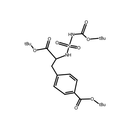 CC(C)(C)OC(=O)NS(=O)(=O)NC(Cc1ccc(C(=O)OC(C)(C)C)cc1)C(=O)OC(C)(C)C